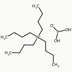 CCCC[N+](CCCC)(CCCC)CCCC.[O-]P(O)O